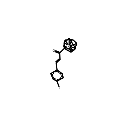 O=C(C=Cc1ccc(F)cc1)[C]12[CH]3[CH]4[CH]5[CH]1[Fe]45321678[CH]2[CH]1[CH]6[CH]7[CH]28